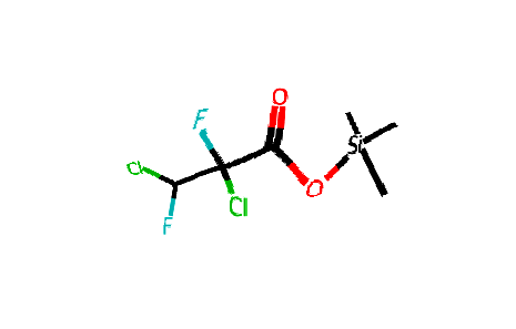 C[Si](C)(C)OC(=O)C(F)(Cl)C(F)Cl